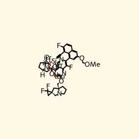 COCOc1cc(-c2ncc3c(N4C[C@H]5CC[C@@H](C4)N5C(=O)OC(C)(C)C)nc(OC[C@@]45CCCN4C[C@]4(CC4(F)F)C5)nc3c2F)c2c(C#C[Si](C(C)C)(C(C)C)C(C)C)c(F)ccc2c1